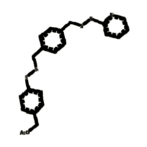 CC(=O)OCc1ccc(SSCc2ccc(CSSc3ccccn3)cc2)cc1